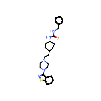 O=C(NCc1ccccc1)N[C@H]1CC[C@H](CCN2CCN(c3nsc4ccccc34)CC2)CC1